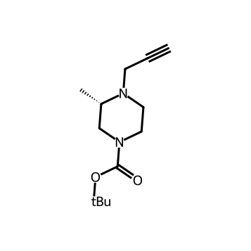 C#CCN1CCN(C(=O)OC(C)(C)C)C[C@@H]1C